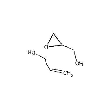 C=CCO.OCC1CO1